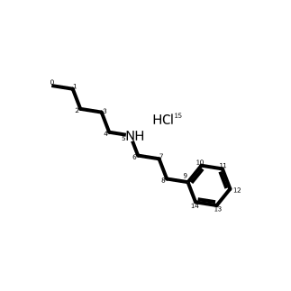 CCCCCNCCCc1ccccc1.Cl